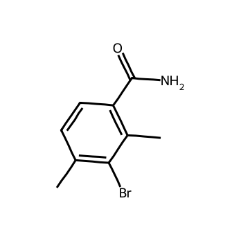 Cc1ccc(C(N)=O)c(C)c1Br